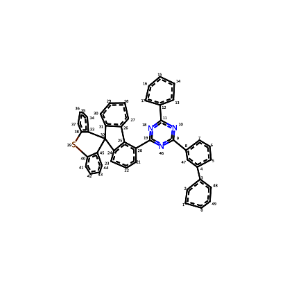 c1ccc(-c2cccc(-c3nc(-c4ccccc4)nc(-c4cccc5c4-c4ccccc4C54c5ccccc5Sc5ccccc54)n3)c2)cc1